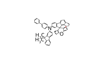 CC1(C)c2ccccc2-c2ccc(N(c3ccc(-c4ccccc4)cc3)c3ccc4c(c3)C3(c5c#cccc5Oc5ccccc53)c3c-4ccc4c3CCC=C4)cc21